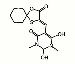 CN1C(=O)C(C=C2SC3(CCCCC3)OC2=O)=C(O)N(C)C1O